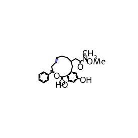 CON(C)C(=O)CC1CC/C=C/C[C@H](c2ccccc2)OC(=O)c2c(O)cc(O)cc2C1